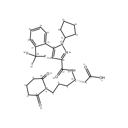 O=C(O)C[C@H](CCCN1C(=O)CCCC1=O)NC(=O)c1cc(-c2ccccc2C(F)(F)F)n(C2CCCC2)n1